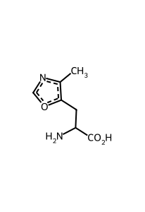 Cc1ncoc1CC(N)C(=O)O